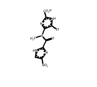 CCc1[nH]c(C(=O)O)nc1N(C)C(=O)c1nc([N+](=O)[O-])c[nH]1